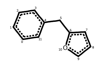 [c]1cccc(Cc2ccco2)c1